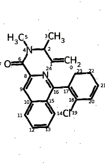 C=CC(C)N(C)C(=O)c1cc2ccccc2c(C2=C(Cl)C=CCC2)n1